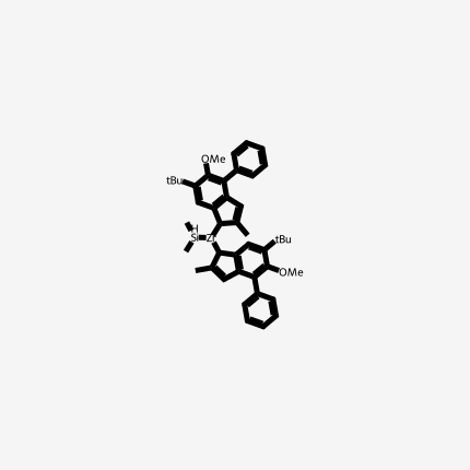 COc1c(C(C)(C)C)cc2c(c1-c1ccccc1)C=C(C)[CH]2[Zr]([CH]1C(C)=Cc2c1cc(C(C)(C)C)c(OC)c2-c1ccccc1)[SiH](C)C